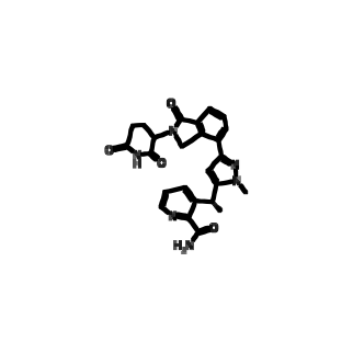 C[C@@H](c1cccnc1C(N)=O)c1cc(-c2cccc3c2CN(C2CCC(=O)NC2=O)C3=O)nn1C